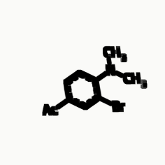 CC(=O)c1ccc(N(C)C)c(Br)c1